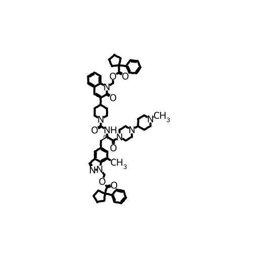 Cc1cc(C[C@@H](NC(=O)N2CCC(c3cc4ccccc4n(COC(=O)C4(c5ccccc5)CCCC4)c3=O)CC2)C(=O)N2CCN(C3CCN(C)CC3)CC2)cc2cnn(COC(=O)C3(c4ccccc4)CCCC3)c12